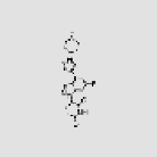 O=C1CCC(n2ncc3c(-c4cnn(C5CCNCC5)c4)cc(F)cc32)C(=O)N1